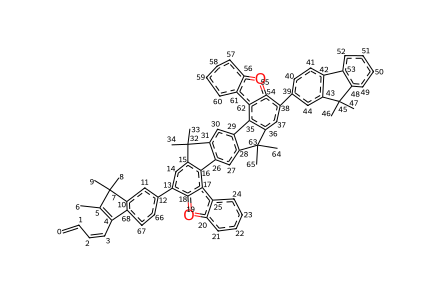 C=C/C=C\C1=C(C)C(C)(C)c2cc(-c3cc4c(c5c3oc3ccccc35)-c3cc5c(cc3C4(C)C)-c3c(cc(-c4ccc6c(c4)C(C)(C)c4ccccc4-6)c4oc6ccccc6c34)C5(C)C)ccc21